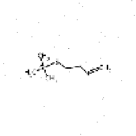 C=NCCS[Si](C)(C)C